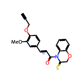 C#CCOc1ccc(/C=C/C(=O)N2C(=S)COc3ccccc32)cc1OC